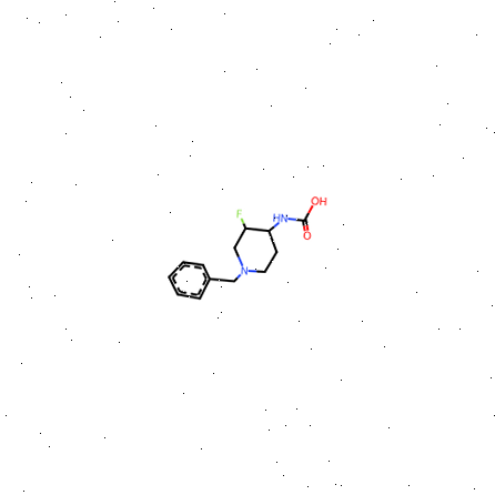 O=C(O)NC1CCN(Cc2ccccc2)CC1F